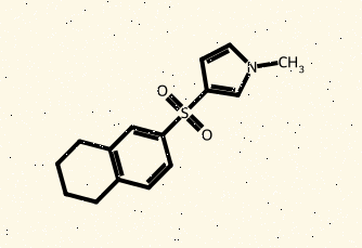 Cn1ccc(S(=O)(=O)c2ccc3c(c2)CCCC3)c1